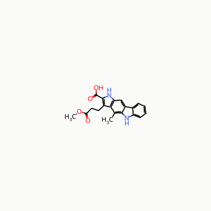 COC(=O)CCc1c(C(=O)O)[nH]c2cc3c([nH]c4ccccc43)c(C)c12